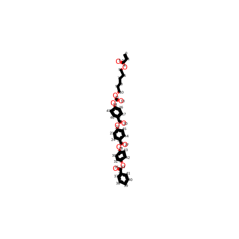 C=CC(=O)OCCCCCCOC(=O)Oc1ccc(C(=O)Oc2ccc(C(=O)Oc3ccc(OC(=O)c4ccccc4)cc3)cc2)cc1